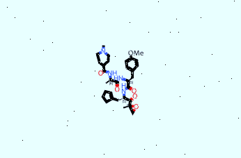 COc1ccc(C[C@H](NC(=O)[C@@H](C)NC(=O)C2CCN(C)CC2)C(=O)N[C@@H](CC2=CCCC2)C(=O)[C@@]2(C)CO2)cc1